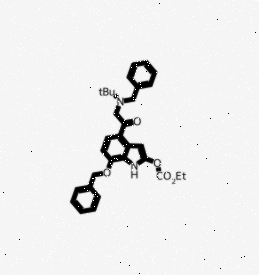 CCOC(=O)Oc1cc2c(C(=O)CN(Cc3ccccc3)C(C)(C)C)ccc(OCc3ccccc3)c2[nH]1